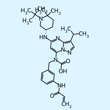 C=CC(=O)Nc1cccc(CN(C(=O)O)c2cc(N[C@H]3CCC(C)(C)N(C(C)(C)C)C3)nc3c(C(C)C)cnn23)c1